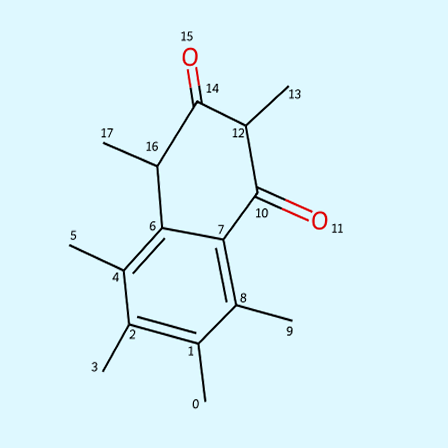 Cc1c(C)c(C)c2c(c1C)C(=O)C(C)C(=O)C2C